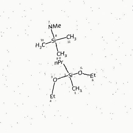 CCC[Si](C)(OCC)OCC.CN[Si](C)(C)C